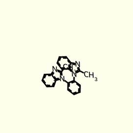 Cc1nc2ccccc2n1-c1ccccc1-n1c(C)nc2ccccc21